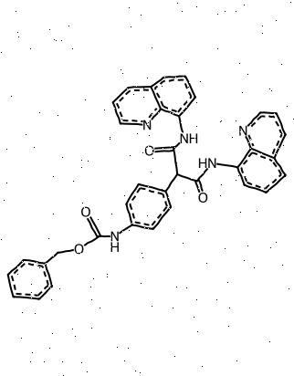 O=C(Nc1ccc(C(C(=O)Nc2cccc3cccnc23)C(=O)Nc2cccc3cccnc23)cc1)OCc1ccccc1